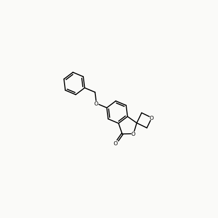 O=C1OC2(COC2)c2ccc(OCc3ccccc3)cc21